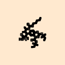 CCCCCOC(=O)OC(C)C(C)C(c1ccc(OC(=O)OC(C)(C)CC)c(OC(=O)OC(C)(C)CC)c1)[C@H](N)C(=O)O